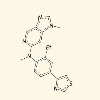 CCc1cc(-c2cscn2)ccc1N(C)c1cc2c(cn1)ncn2C